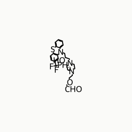 O=CCOCCN1CCN(CC(O)CN2c3ccccc3Sc3ccc(C(F)(F)P)cc32)CC1